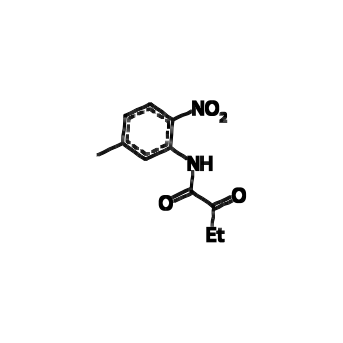 CCC(=O)C(=O)Nc1cc(C)ccc1[N+](=O)[O-]